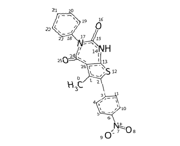 Cc1c(-c2ccc([N+](=O)[O-])cc2)sc2[nH]c(=O)n(-c3ccccc3)c(=O)c12